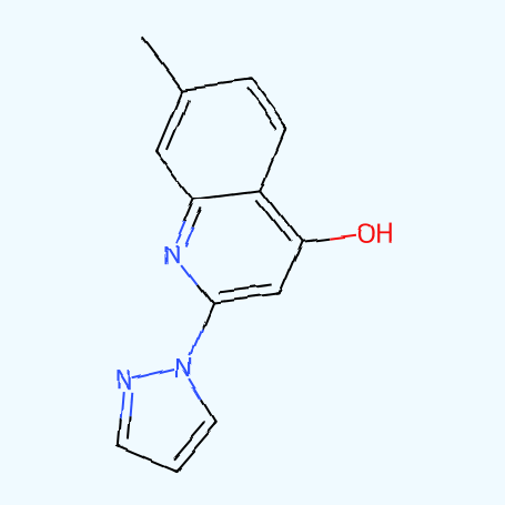 Cc1ccc2c(O)cc(-n3cccn3)nc2c1